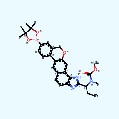 CC(C)C[C@@H](c1nc2ccc3cc4c(cc3c2[nH]1)OCc1cc(B2OC(C)(C)C(C)(C)O2)ccc1-4)N(C)C(=O)OC(C)(C)C